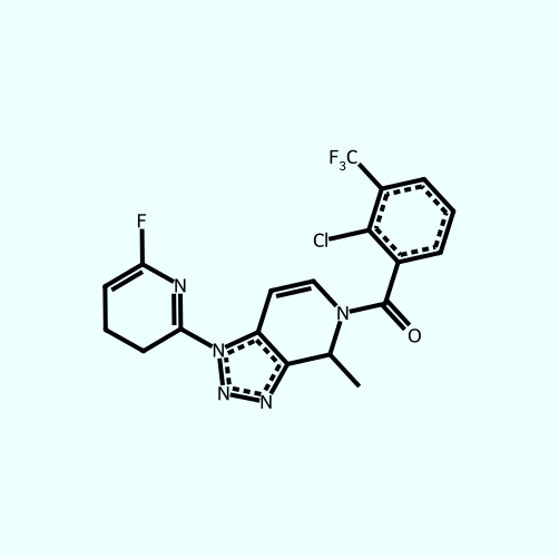 CC1c2nnn(C3=NC(F)=CCC3)c2C=CN1C(=O)c1cccc(C(F)(F)F)c1Cl